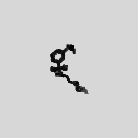 COCCNS(=O)(=O)c1cccc(N)c1